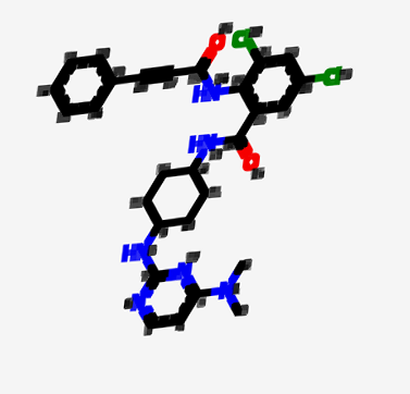 CN(C)c1ccnc(NC2CCC(NC(=O)c3cc(Cl)cc(Cl)c3NC(=O)C#Cc3ccccc3)CC2)n1